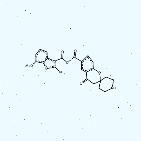 COc1cccc2c(C(=O)OC(=O)c3ccc4c(c3)C(=O)CC3(CCNCC3)O4)c(N)sc12